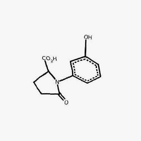 O=C(O)C1CCC(=O)N1c1cccc(O)c1